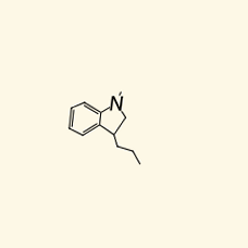 CCCC1CN(C)c2ccccc21